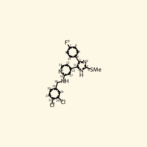 CSc1nc(-c2ccc(F)cc2)c(-c2ccnc(NCc3ccc(Cl)c(Cl)c3)c2)[nH]1